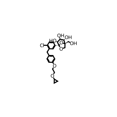 OC[C@@]12CO[C@](c3ccc(Cl)c(Cc4ccc(OCCOC5CC5)cc4)c3)(O1)[C@H](O)[C@@H](O)[C@@H]2O